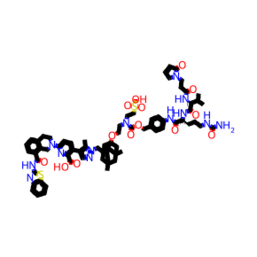 Cc1c(-c2ccc(N3CCc4cccc(C(=O)Nc5nc6ccccc6s5)c4C3)nc2C(=O)O)cnn1CC12CC3(C)CC(C)(C1)CC(OCCN(CCS(=O)(=O)O)C(=O)OCc1ccc(NC(=O)[C@H](CCCNC(N)=O)NC(=O)[C@@H](NC(=O)CCN4CC=CC4=O)C(C)C)cc1)(C3)C2